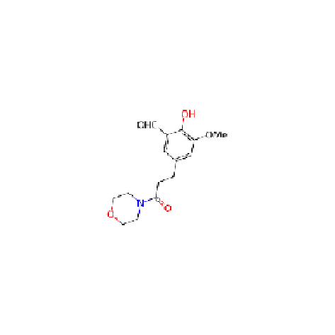 COc1cc(CCC(=O)N2CCOCC2)cc(C=O)c1O